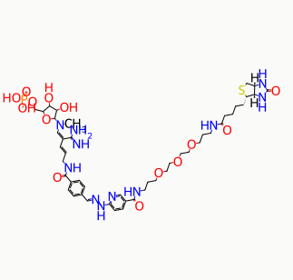 CN(/C=C(/C=C/CNC(=O)c1ccc(/C=N/Nc2ccc(C(=O)NCCCOCCOCCOCCCNC(=O)CCCC[C@@H]3SC[C@@H]4NC(=O)N[C@@H]43)cn2)cc1)C(=N)N)C1OC(COP(=O)(O)O)C(O)C1O